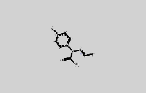 CC(C)/C=N/N(C(N)=O)c1ccc(Br)cc1